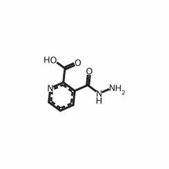 NNC(=O)c1cccnc1C(=O)O